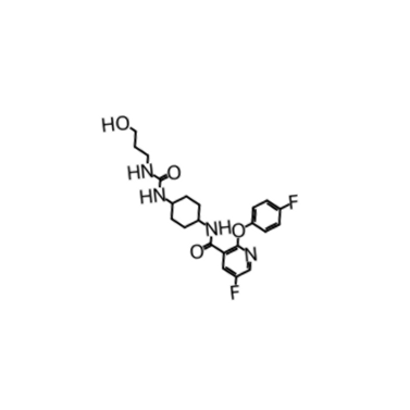 O=C(NCCCO)NC1CCC(NC(=O)c2cc(F)cnc2Oc2ccc(F)cc2)CC1